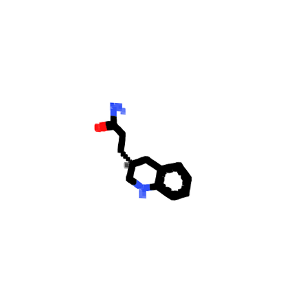 NC(=O)CC[C@H]1CNc2ccccc2C1